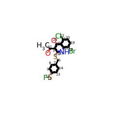 CC(=O)c1c(SCc2ccc(SF)cc2)[nH]c2c(Br)ccc(Cl)c2c1=O